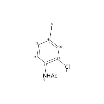 CC(=O)Nc1ccc(I)cc1Cl